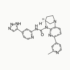 Cc1cc(-c2ccc3c(n2)N(C(=O)Nc2cc(-c4cnn[nH]4)ccn2)[C@H]2CCN3C2)ccn1